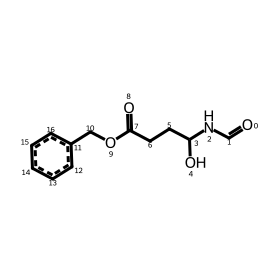 O=CNC(O)CCC(=O)OCc1ccccc1